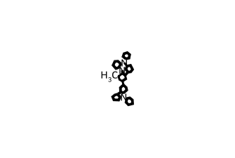 CC1CC(c2ccc3c(c2)c2ccccc2n3-c2ccccc2)=Cc2c1n1c3c(cccc23)N(c2ccccc2)c2ccccc2-1